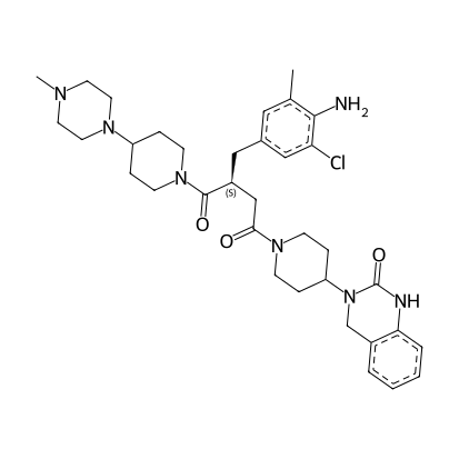 Cc1cc(C[C@@H](CC(=O)N2CCC(N3Cc4ccccc4NC3=O)CC2)C(=O)N2CCC(N3CCN(C)CC3)CC2)cc(Cl)c1N